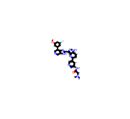 COc1cc(F)cc(-c2cncc3[nH]c(-c4n[nH]c5ccc(-c6cncc(NC(=O)CN(C)C)c6)nc45)nc23)c1